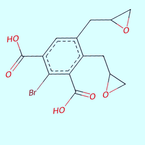 O=C(O)c1cc(CC2CO2)c(CC2CO2)c(C(=O)O)c1Br